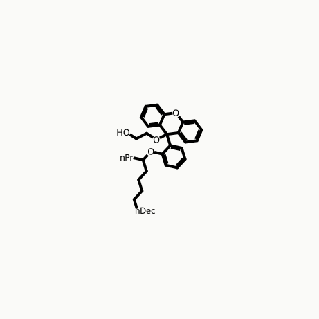 CCCCCCCCCCCCCCC(CCC)Oc1ccccc1C1(OCCO)c2ccccc2Oc2ccccc21